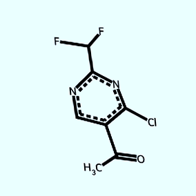 CC(=O)c1cnc(C(F)F)nc1Cl